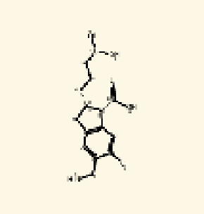 NCc1cc2c(cc1Cl)[C@@H](C(=O)O)[C@@H](CCCB(O)O)C2